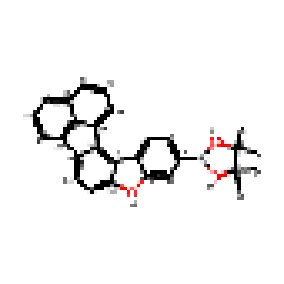 CC1(C)OB(c2ccc3c(c2)oc2ccc4c(c23)-c2cccc3cccc-4c23)OC1(C)C